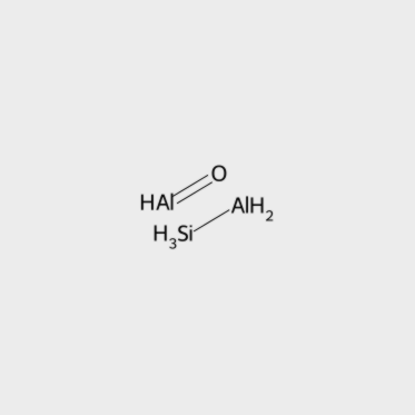 [AlH2][SiH3].[O]=[AlH]